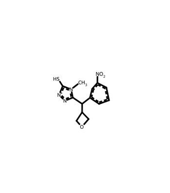 Cn1c(S)nnc1C(c1cccc([N+](=O)[O-])c1)C1COC1